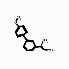 N[C@@H](CC(=O)O)c1cccc(-c2ccc(OC(F)(F)F)cc2)c1